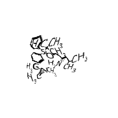 CC(C)C[C@H](N)CO[Si](c1ccccc1)(c1ccccc1)C(C)(C)C.[CH3][Al]([CH3])[CH3]